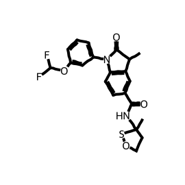 CC1C(=O)N(c2cccc(OC(F)F)c2)c2ccc(C(=O)NC3(C)CCOS3)cc21